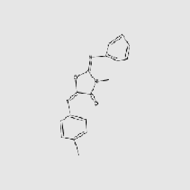 Cc1ccc(/C=C2/OC(=Nc3ccccc3)N(C)C2=O)cc1